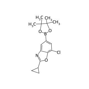 CC1(C)OB(c2cc(Cl)c3oc(C4CC4)nc3c2)OC1(C)C